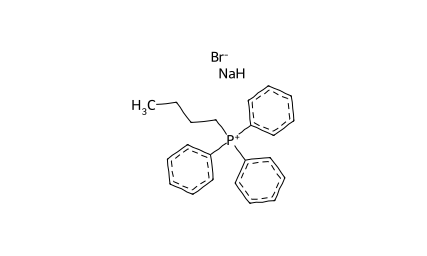 CCCC[P+](c1ccccc1)(c1ccccc1)c1ccccc1.[Br-].[NaH]